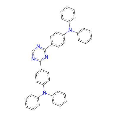 c1ccc(N(c2ccccc2)c2ccc(-c3ncnc(-c4ccc(N(c5ccccc5)c5ccccc5)cc4)n3)cc2)cc1